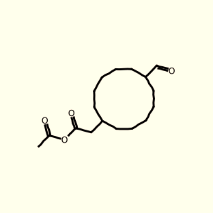 CC(=O)OC(=O)CC1CCCCCC(C=O)CCCCC1